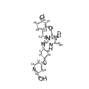 CCn1c(=S)[nH]/c(=N\c2ccc(Oc3ccnc(O)c3)cc2)n(Cc2ccc(Cl)cc2)c1=O